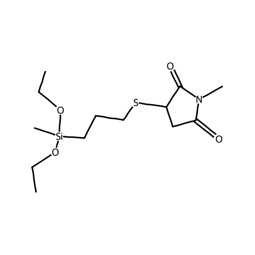 CCO[Si](C)(CCCSC1CC(=O)N(C)C1=O)OCC